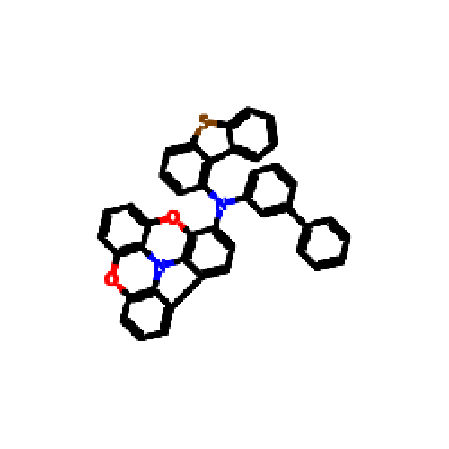 c1ccc(-c2cccc(N(c3ccc4c5cccc6c5n5c4c3Oc3cccc(c3-5)O6)c3cccc4sc5ccccc5c34)c2)cc1